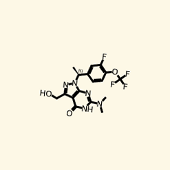 C[C@@H](c1ccc(OC(F)(F)F)c(F)c1)n1nc(CO)c2c(=O)[nH]c(N(C)C)nc21